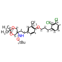 CC(C)(C)ONC1(CCc2ccc(OCCCc3cccc(Cl)c3Cl)c(C(F)(F)F)c2)COC(C)(C)OC1